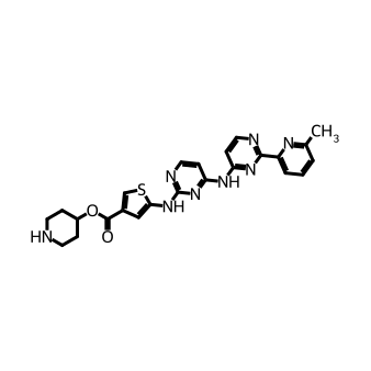 Cc1cccc(-c2nccc(Nc3ccnc(Nc4cc(C(=O)OC5CCNCC5)cs4)n3)n2)n1